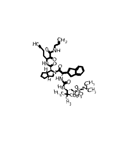 C#CCCC(NC(=O)[C@@H]1[C@H]2CCC[C@H]2CN1C(=O)[C@@H](NC(=O)N[C@H](CN(C)S(=O)(=O)N(C)C)C(C)(C)C)C1Cc2ccccc2C1)C(=O)C(=O)NCC=C